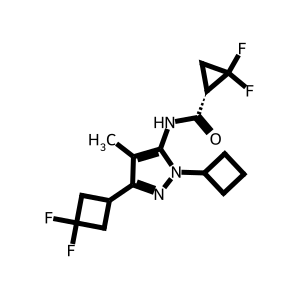 Cc1c(C2CC(F)(F)C2)nn(C2CCC2)c1NC(=O)[C@@H]1CC1(F)F